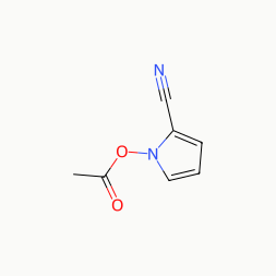 CC(=O)On1cccc1C#N